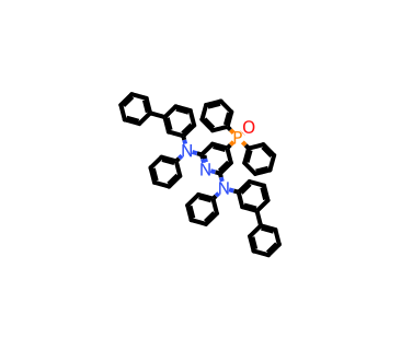 O=P(c1ccccc1)(c1ccccc1)c1cc(N(c2ccccc2)c2cccc(-c3ccccc3)c2)nc(N(c2ccccc2)c2cccc(-c3ccccc3)c2)c1